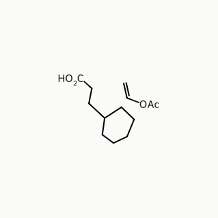 C=COC(C)=O.O=C(O)CCC1CCCCC1